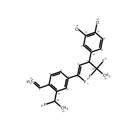 C=Cc1ccc(/C(F)=C/C(c2ccc(Cl)c(Cl)c2)C(C)(F)F)cc1C(C)F